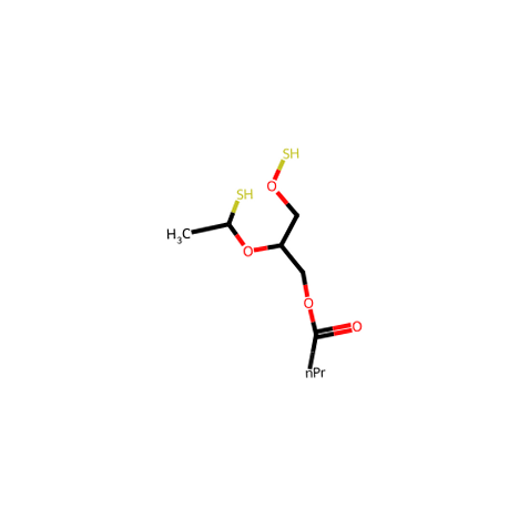 CCCC(=O)OCC(COS)OC(C)S